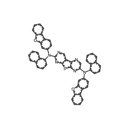 c1ccc2c(N(c3ccc4c(c3)oc3ccccc34)c3cnc4c(n3)sc3nc(N(c5ccc6c(c5)oc5ccccc56)c5cccc6ccccc56)ncc34)cccc2c1